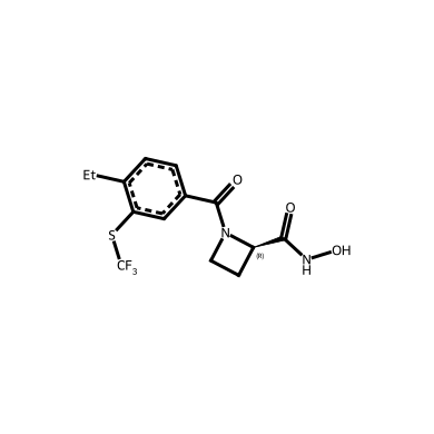 CCc1ccc(C(=O)N2CC[C@@H]2C(=O)NO)cc1SC(F)(F)F